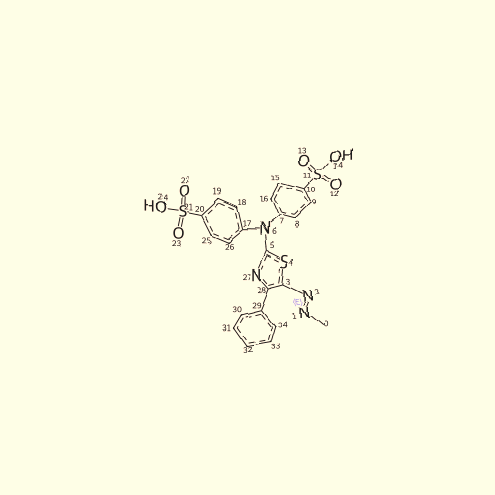 C/N=N/c1sc(N(c2ccc(S(=O)(=O)O)cc2)c2ccc(S(=O)(=O)O)cc2)nc1-c1ccccc1